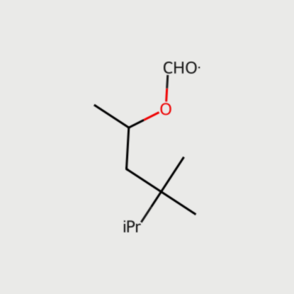 CC(CC(C)(C)C(C)C)O[C]=O